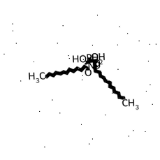 CCCCCCCCCCCCCC(=O)N(C(=O)CCCCCCCCCCCCC)C(P)(CO)C(=O)O